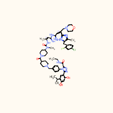 CCNC(=O)c1nnc(-c2cc(C(C)C)c(O)cc2O)n1-c1ccc(CN2CCC(C(=O)N3CCC(N(C)C(=O)N/C(C)=C\C(=N)NC(=N)/C=C(/CN4CCOCC4)c4nc(C)c(Cc5ccc(Cl)cc5F)[nH]4)CC3)CC2)cc1